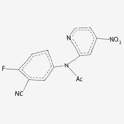 CC(=O)N(c1ccc(F)c(C#N)c1)c1cc([N+](=O)[O-])ccn1